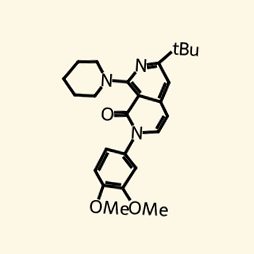 COc1ccc(-n2ccc3cc(C(C)(C)C)nc(N4CCCCC4)c3c2=O)cc1OC